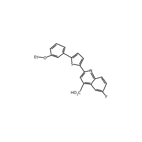 CCOc1cccc(-c2ccc(-c3cc(C(=O)O)c4cc(F)ccc4n3)s2)c1